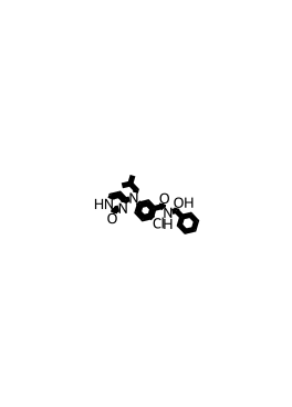 CC(C)CN(c1ccc(Cl)c(C(=O)NC(O)C2CCCCC2)c1)c1cc[nH]c(=O)n1